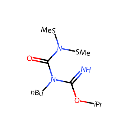 CCCCN(C(=N)OC(C)C)C(=O)N(SC)SC